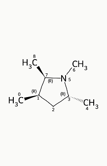 C[C@@H]1C[C@@H](C)N(C)[C@@H]1C